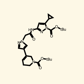 CC(C)(C)OC(=O)N1CCC=C(c2cnn(CC(=O)Nc3cc(C4CC4)n(C(=O)OC(C)(C)C)n3)c2)C1